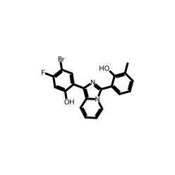 Cc1cccc(-c2nc(-c3cc(Br)c(F)cc3O)c3ccccn23)c1O